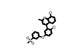 Cc1cc(-c2cc(Oc3cccc(S(C)(=O)=O)c3)ccc2Cl)c2cccc(Cl)c2n1